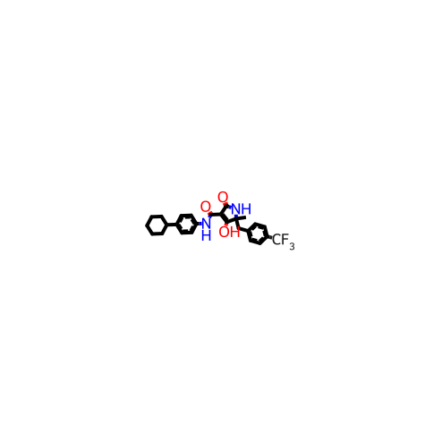 CC1(Cc2ccc(C(F)(F)F)cc2)NC(=O)C(C(=O)Nc2ccc(C3CCCCC3)cc2)=C1O